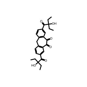 CCC(O)(CC)C(=O)c1ccc2c(c1)C(=O)C(=O)c1cc(C(=O)C(O)(CC)CC)ccc1C2